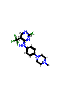 CN1CCN(c2ccc(Nc3nc(Cl)ncc3C(F)(F)F)cc2)CC1